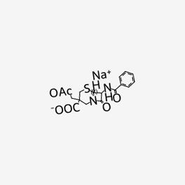 CC(=O)OCC1(C(=O)[O-])CS[C@@H]2C(NC(=O)c3ccccc3)C(=O)N2C1.[Na+]